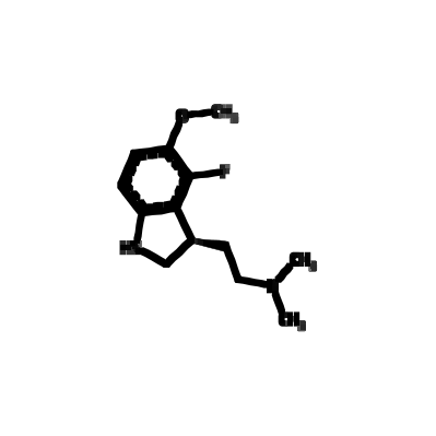 COc1ccc2c(c1F)[C@@H](CCN(C)C)CN2